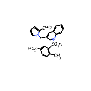 Cc1ccc(C(=O)O)cc1C(=O)O.O=Cc1cccn1Cc1cnc2ccccc2c1